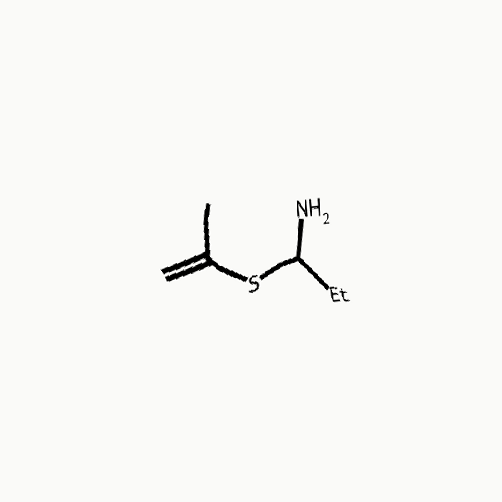 C=C(C)SC(N)CC